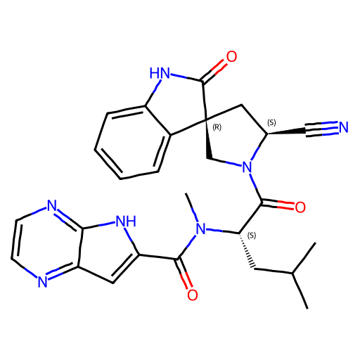 CC(C)C[C@@H](C(=O)N1C[C@]2(C[C@H]1C#N)C(=O)Nc1ccccc12)N(C)C(=O)c1cc2nccnc2[nH]1